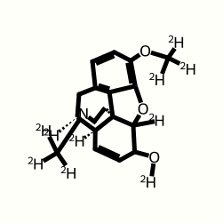 [2H]OC1C=C[C@@]2([2H])[C@@]3([2H])Cc4ccc(OC([2H])([2H])[2H])c5c4[C@@]2(CCN3C([2H])([2H])[2H])C1([2H])O5